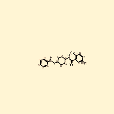 O=C(NC1CCC(CNc2ccccc2)CC1)c1cc(Cl)ccc1Cl